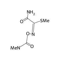 CNC(=O)ON=C(SC)C(N)=O